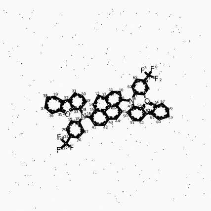 FC(F)(F)c1ccc(N(c2ccc3ccc4c(N(c5ccc(C(F)(F)F)cc5)c5cccc6c5oc5ccccc56)ccc5ccc2c3c54)c2cccc3c2oc2ccccc23)cc1